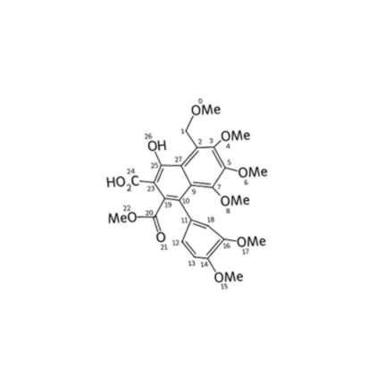 COCc1c(OC)c(OC)c(OC)c2c(-c3ccc(OC)c(OC)c3)c(C(=O)OC)c(C(=O)O)c(O)c12